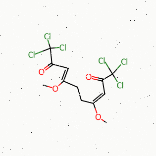 COC(=CC(=O)C(Cl)(Cl)Cl)CCC(=CC(=O)C(Cl)(Cl)Cl)OC